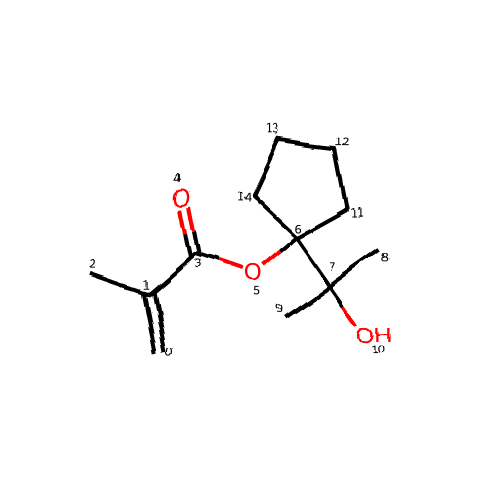 C=C(C)C(=O)OC1(C(C)(C)O)CCCC1